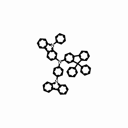 c1ccc(-n2c3ccccc3c3ccc(N(c4ccc(-n5c6ccccc6c6ccccc65)cc4)c4ccc5c(c4)C(c4ccccc4)(c4ccccc4)c4ccccc4-5)cc32)cc1